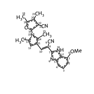 COc1cccc2nc(C(C#N)=Cc3cc(C)n(-c4oc(C)c(C)c4C#N)c3C)[nH]c12